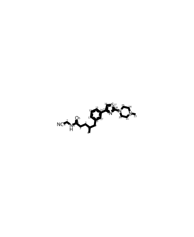 CC(CCC(=O)NCC#N)Cc1cccc(-c2csc(N3CCN(C)CC3)n2)c1